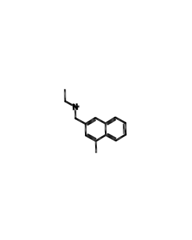 CC[N]Cc1cc(C)c2ccccc2c1